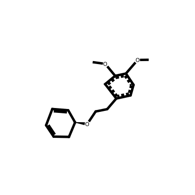 COc1ccc(CCO[C@@H]2C=CC=CC2)cc1OC